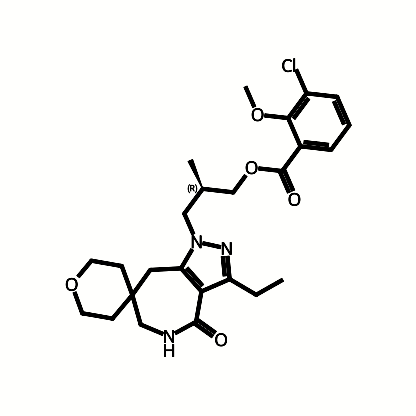 CCc1nn(C[C@@H](C)COC(=O)c2cccc(Cl)c2OC)c2c1C(=O)NCC1(CCOCC1)C2